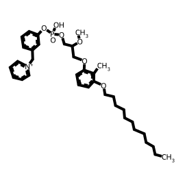 CCCCCCCCCCCCOc1cccc(OCC(COP(=O)(O)Oc2cccc(C[n+]3ccccc3)c2)OC)c1C